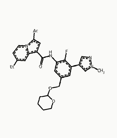 CCc1ccn2c(C(C)=O)cc(C(=O)Nc3cc(COC4CCCCO4)cc(-c4cnn(C)c4)c3F)c2c1